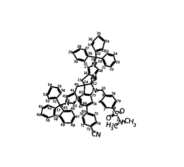 CN(C)S(=O)(=O)c1ccc(CN2C(=O)C(Cc3cn(C(c4ccccc4)(c4ccccc4)c4ccccc4)cn3)(Cc3cn(C(c4ccccc4)(c4ccccc4)c4ccccc4)cn3)c3ccc(-c4ccc(C#N)cc4)cc32)cc1